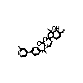 Cc1cc(-c2ccc([C@H](C)N3CCC(CC(C)(C)O)(c4ccc(F)cc4)OC3=O)cc2)ccn1